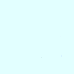 CC(C)[S+]([O-])C(c1ccc(F)cc1)(c1ccc(F)cc1)c1ccc(F)cc1